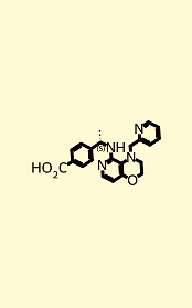 C[C@H](Nc1nccc2c1N(Cc1ccccn1)CCO2)c1ccc(C(=O)O)cc1